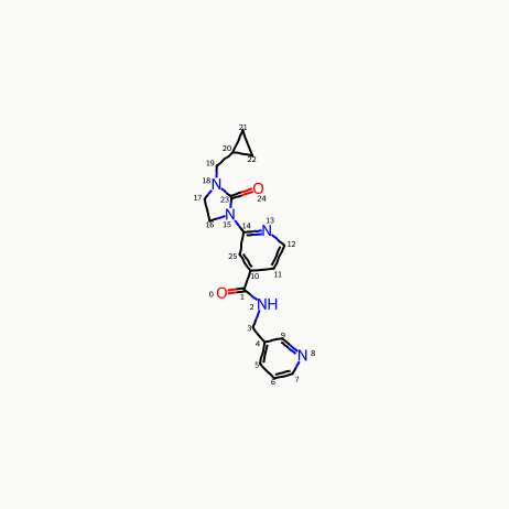 O=C(NCc1cccnc1)c1ccnc(N2CCN(CC3CC3)C2=O)c1